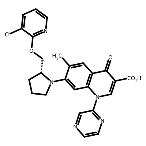 Cc1cc2c(=O)c(C(=O)O)cn(-c3cnccn3)c2cc1N1CCC[C@@H]1COc1ncccc1Cl